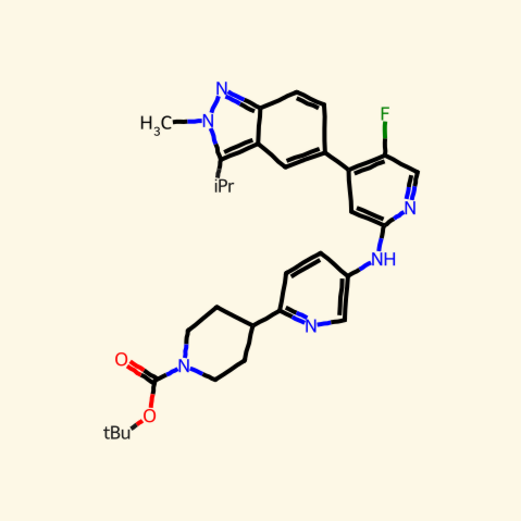 CC(C)c1c2cc(-c3cc(Nc4ccc(C5CCN(C(=O)OC(C)(C)C)CC5)nc4)ncc3F)ccc2nn1C